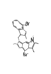 CC1=CC2=C(Br)C3C(=CC2=C1CC1C(C)=Cc2c(Br)cccc21)N(C)C(C)=C3C